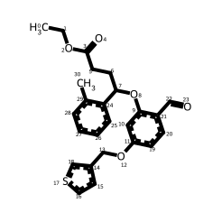 CCOC(=O)CCC(Oc1cc(OCc2ccsc2)ccc1C=O)c1ccccc1C